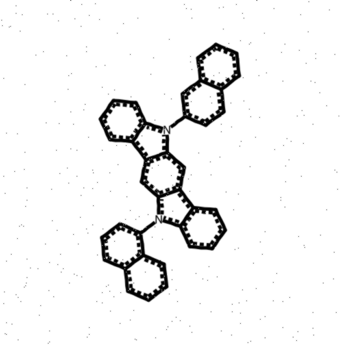 c1ccc2cc(-n3c4ccccc4c4cc5c(cc43)c3ccccc3n5-c3cccc4ccccc34)ccc2c1